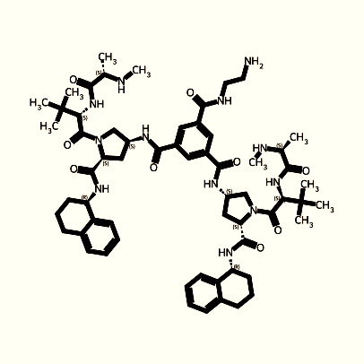 CN[C@@H](C)C(=O)N[C@H](C(=O)N1C[C@@H](NC(=O)c2cc(C(=O)NCCN)cc(C(=O)N[C@H]3C[C@@H](C(=O)N[C@@H]4CCCc5ccccc54)N(C(=O)[C@@H](NC(=O)[C@H](C)NC)C(C)(C)C)C3)c2)C[C@H]1C(=O)N[C@@H]1CCCc2ccccc21)C(C)(C)C